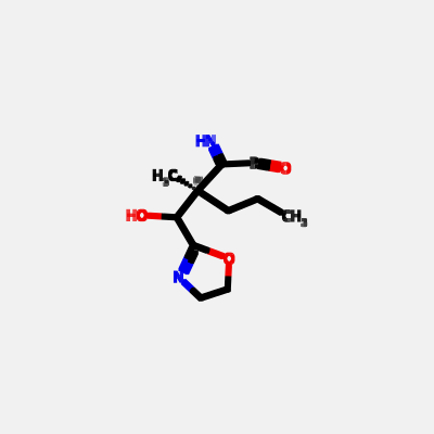 CCC[C@](C)(C(=N)B=O)C(O)C1=NCCO1